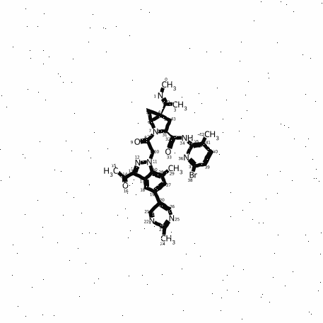 C/N=C(\C)[C@]12CC1N(C(=O)Cn1nc(C(C)=O)c3cc(-c4cnc(C)nc4)cc(C)c31)[C@H](C(=O)Nc1nc(Br)ccc1C)C2